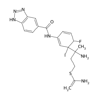 C=C(N)SCCC(C)(N)C1(I)C=C(NC(=O)c2ccc3[nH]nnc3c2)C=CC1F